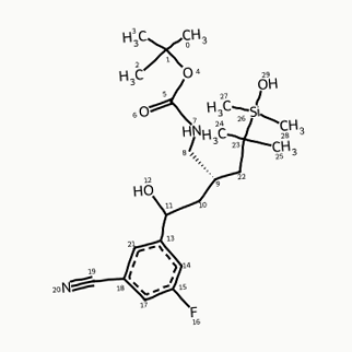 CC(C)(C)OC(=O)NC[C@@H](CC(O)c1cc(F)cc(C#N)c1)CC(C)(C)[Si](C)(C)O